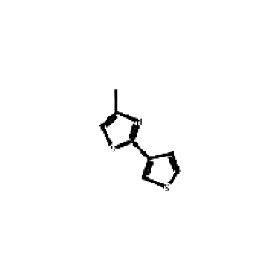 Cc1csc(-c2ccsc2)n1